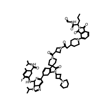 CCCC(C(=O)NC=O)N1C(=O)c2cccc(N3CCC(CC(=O)N4CC(C(=O)N5CCC6(CC5)C(=O)N(C5CC(N7CCCCC7)C5)C5=C6C=CC(C6=NC(NC7=C(F)C=C(C)C(C(=O)NC(C)C)C7)C7C(=C6)N=CN7C(C)C)C5)C4)CC3)c2C1=O